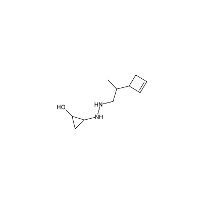 CC(CNNC1CC1O)C1C=CC1